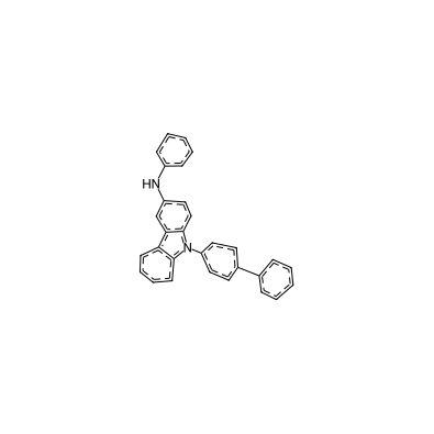 c1ccc(Nc2ccc3c(c2)c2ccccc2n3-c2ccc(-c3ccccc3)cc2)cc1